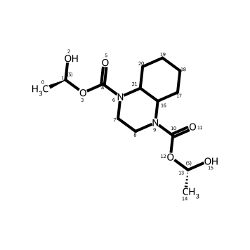 C[C@@H](O)OC(=O)N1CCN(C(=O)O[C@@H](C)O)C2CCCCC21